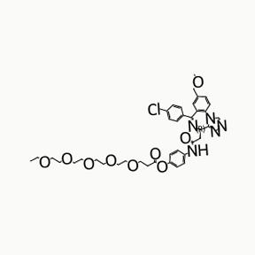 CCOCCOCCOCCOCCOCCC(=O)Oc1ccc(NC(=O)C[C@H]2N=C(c3ccc(Cl)cc3)c3cc(COC)ccc3-n3cnnc32)cc1